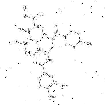 COc1ccc(C(=O)N[C@H]2CN(C(=O)C3CCN(C)CC3)C3CN(C(C)CO)C(=O)[C@H](C(C)O)N3C2=O)cc1OC